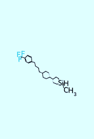 CCC[Si@H]1CC[C@H]([C@H]2CC[C@H](CCCCc3ccc(C(F)(F)F)cc3)CC2)CC1